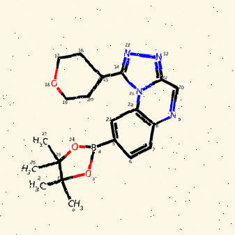 CC1(C)OB(c2ccc3ncc4nnc(C5CCOCC5)n4c3c2)OC1(C)C